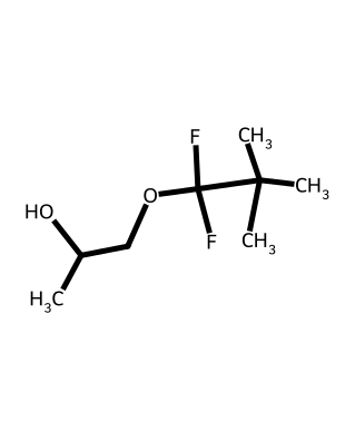 CC(O)COC(F)(F)C(C)(C)C